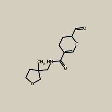 CC1(CNC(=O)C2=COC(C=O)CC2)CCOC1